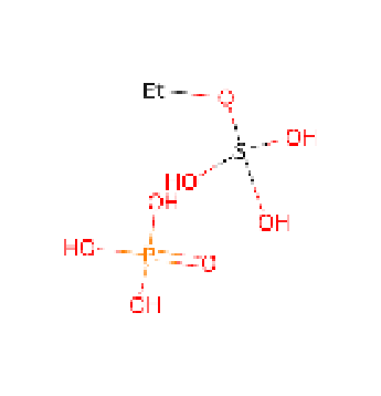 CCO[Si](O)(O)O.O=P(O)(O)O